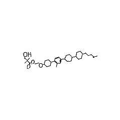 CCCCCC1CCC(C2CCC(c3ccc(C4CCC(OCCOC(=O)C(C)(C)CO)CC4)c(C)c3)CC2)CC1